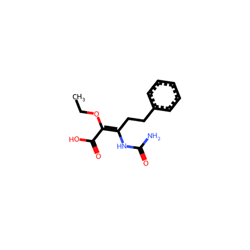 CCOC(C(=O)O)=C(CCc1ccccc1)NC(N)=O